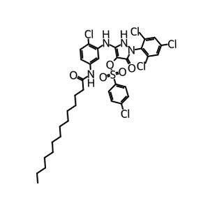 CCCCCCCCCCCCCC(=O)Nc1ccc(Cl)c(Nc2[nH]n(-c3c(Cl)cc(Cl)cc3Cl)c(=O)c2OS(=O)(=O)c2ccc(Cl)cc2)c1